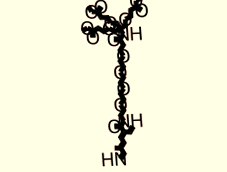 C=C/C(=C\C=C(/C)C=N)C(=O)NCCOCCOCCOCCOCCC(=O)NC(COCCC(=O)OC)(COCCC(=O)OC)COCCC(=O)OC